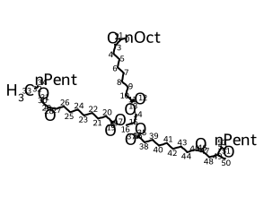 CCCCCCCCC1OC1CCCCCCCC(=O)OCC(COC(=O)CCCCCCCC1OC1COC(C)CCCCC)OC(=O)CCCCCCCC1OC1CC1COC1CCCCC